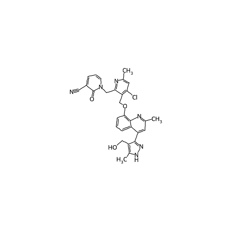 Cc1cc(Cl)c(COc2cccc3c(-c4n[nH]c(C)c4CO)cc(C)nc23)c(Cn2cccc(C#N)c2=O)n1